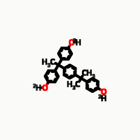 [2H]Oc1ccc(C(C)(C)c2ccc(C(C)(c3ccc(O[2H])cc3)c3ccc(O[2H])cc3)cc2)cc1